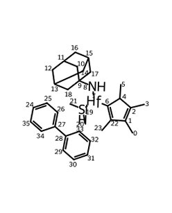 CC1=C(C)C(C)[C]([Hf]([NH]C23CC4CC(CC(C4)C2)C3)[SiH](C)C)=C1C.c1ccc(-c2ccccc2)cc1